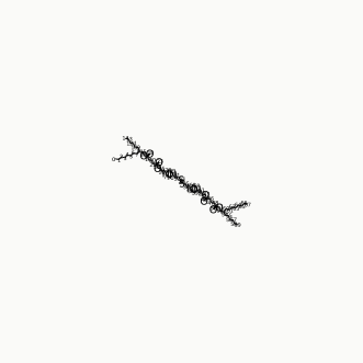 CCCCCCCCC(CCCCCC)COC(=O)CCCC(=O)OCCN1CCN(CCSSCCN2CCN(CCOC(=O)CCCC(=O)OCC(CCCCCC)CCCCCCCC)CC2)CC1